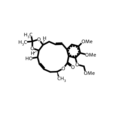 COCOc1c(OC)c(OC)cc2c1C(=O)O[C@@H](C)C/C=C\C(O)[C@H]1OC(C)(C)O[C@H]1C/C=C/2